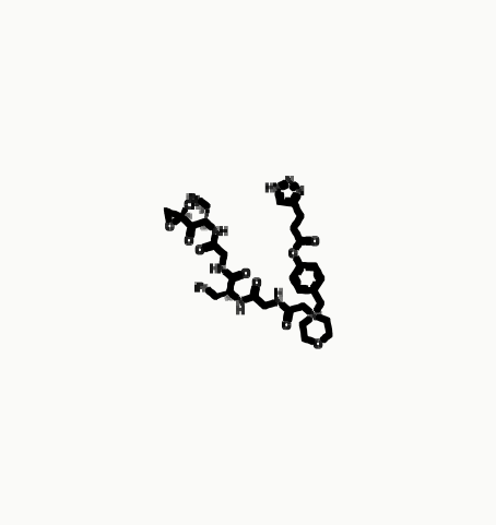 CC(C)C[C@H](NC(=O)CNC(=O)C[N+]1(Cc2ccc(OC(=O)CCc3c[nH]nn3)cc2)CCOCC1)C(=O)NCC(=O)N[C@@H](CC(C)C)C(=O)[C@@]1(C)CO1